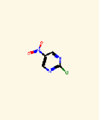 O=[N+]([O-])c1[c]nc(Cl)nc1